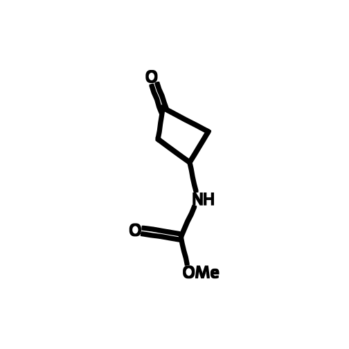 COC(=O)NC1CC(=O)C1